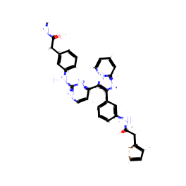 CNC(=O)Cc1cccc(Nc2nccc(-c3c(-c4cccc(NC(=O)Cc5cccs5)c4)nc4ccccn34)n2)c1